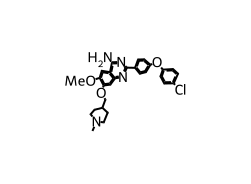 COc1cc2c(N)nc(-c3ccc(Oc4ccc(Cl)cc4)cc3)nc2cc1OCC1CCN(C)CC1